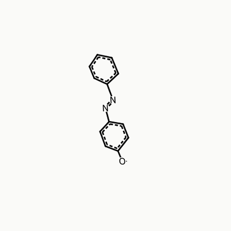 [O]c1ccc(N=Nc2ccccc2)cc1